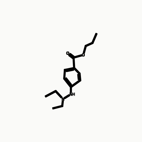 CCCOC(=O)c1ccc(NN(CC)CC)cc1